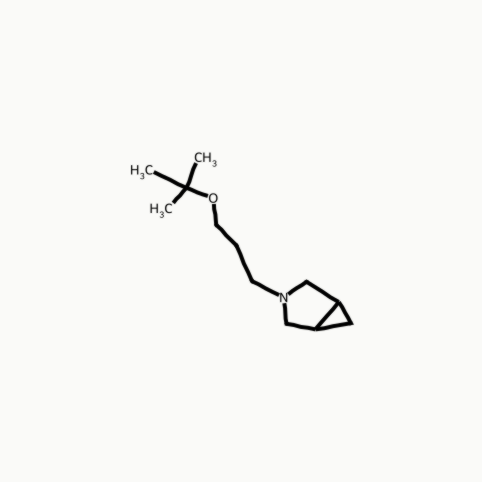 CC(C)(C)OCCCN1CC2CC2C1